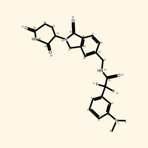 CN(C)c1cccc(C(F)(F)C(=O)NCc2ccc3c(c2)CN(C2CCC(=O)NC2=O)C3=O)c1